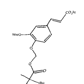 COc1cc(/C=C/C(=O)O)ccc1OCOC(=O)C(C)(CC(C)(C)C)C(C)(C)C